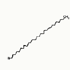 CCCCCCCCCCCCCCCCCCCCCCCCCCC=C[N]